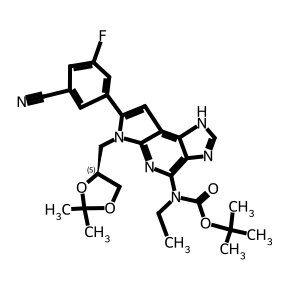 CCN(C(=O)OC(C)(C)C)c1nc2c(cc(-c3cc(F)cc(C#N)c3)n2C[C@H]2COC(C)(C)O2)c2[nH]cnc12